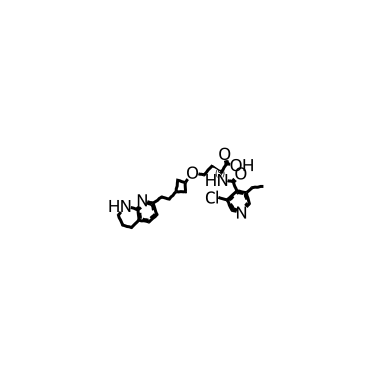 CCc1cncc(Cl)c1C(=O)N[C@@H](CCOC1CC(CCc2ccc3c(n2)NCCC3)C1)C(=O)O